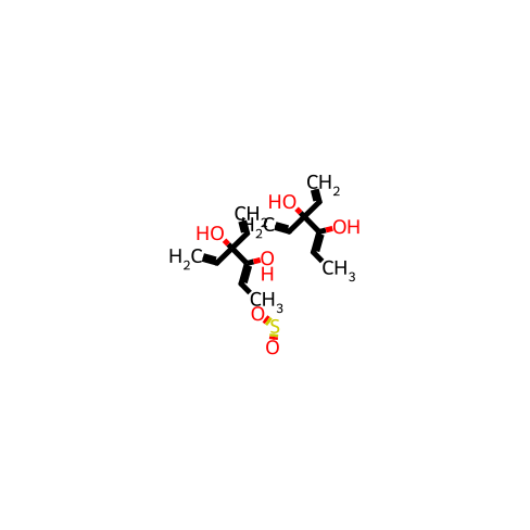 C=CC(O)(C=C)C(O)=CC.C=CC(O)(C=C)C(O)=CC.O=S=O